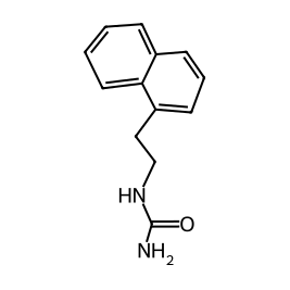 NC(=O)NCCc1cccc2ccccc12